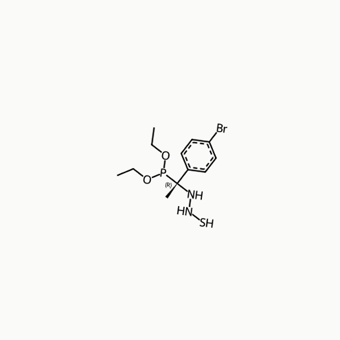 CCOP(OCC)[C@@](C)(NNS)c1ccc(Br)cc1